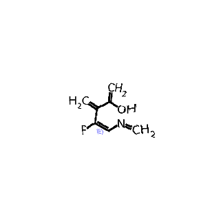 C=N/C=C(/F)C(=C)C(=C)O